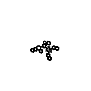 C1=Cc2oc3cc([C@@H]4CCc5cc6ccccc6cc5-c5ccccc54)cc(-c4nc(-c5ccc6ccccc6c5)nc(-c5ccc6ccccc6c5)n4)c3c2CC1